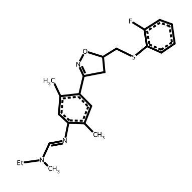 CCN(C)C=Nc1cc(C)c(C2=NOC(CSc3ccccc3F)C2)cc1C